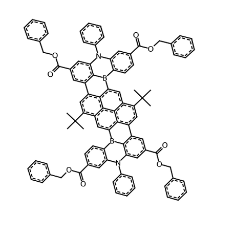 CC(C)(C)c1cc2c3c(cc4c(C(C)(C)C)cc5c6c(cc1c3c46)B1c3ccc(C(=O)OCc4ccccc4)cc3N(c3ccccc3)c3cc(C(=O)OCc4ccccc4)cc-5c31)B1c3ccc(C(=O)OCc4ccccc4)cc3N(c3ccccc3)c3cc(C(=O)OCc4ccccc4)cc-2c31